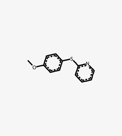 COc1ccc(Sc2ccccn2)cc1